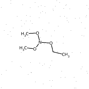 CCON(OC)OC